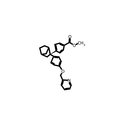 COC(=O)c1ccc([C@@]2(c3ccc(OCc4ccccn4)cc3)CC3CCC2C3)cc1